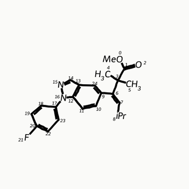 COC(=O)C(C)(C)/C(=C/C(C)C)c1ccc2c(cnn2-c2ccc(F)cc2)c1